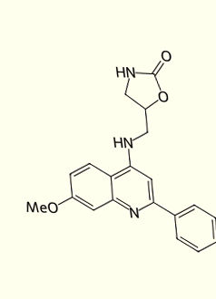 COc1ccc2c(NCC3CNC(=O)O3)cc(-c3ccc(Cl)cc3)nc2c1